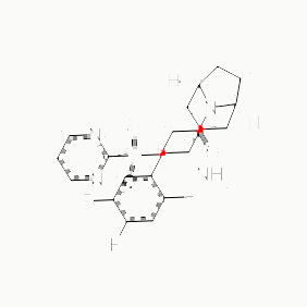 N[C@H](Cc1cc(F)c(F)cc1F)C1C[C@H]2CC[C@@H](C1)N2C(=O)CCS(=O)(=O)c1ncccn1